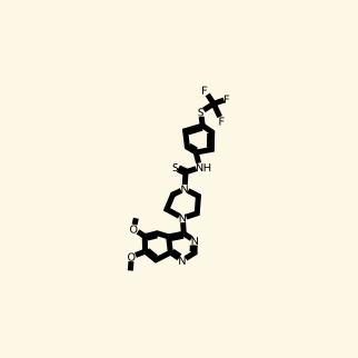 COc1cc2ncnc(N3CCN(C(=S)Nc4ccc(SC(F)(F)F)cc4)CC3)c2cc1OC